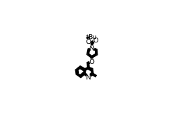 Cc1cc(COC2CCN(C(=O)OC(C)(C)C)CC2)c2ccccc2n1